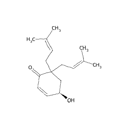 CC(C)=CCC1(CC=C(C)C)C[C@@H](O)C=CC1=O